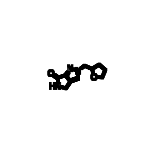 O=C1NCc2cn(CC3CCCO3)nc21